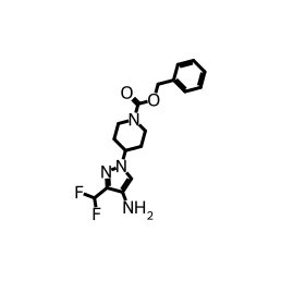 Nc1cn(C2CCN(C(=O)OCc3ccccc3)CC2)nc1C(F)F